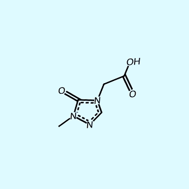 Cn1ncn(CC(=O)O)c1=O